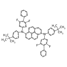 CC(C)(C)c1ccc(N(c2cc(F)c(-c3ccccc3)c(F)c2)c2ccc3ccc4c(N(c5ccc(C(C)(C)C)cc5)c5cc(F)c(-c6ccccc6)c(F)c5)ccc5ccc2c3c54)cc1